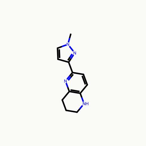 Cn1ccc(-c2ccc3c(n2)CCCN3)n1